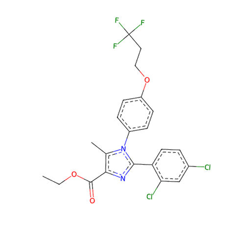 CCOC(=O)c1nc(-c2ccc(Cl)cc2Cl)n(-c2ccc(OCCC(F)(F)F)cc2)c1C